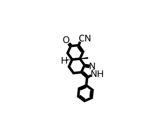 C[C@]12C=C(C#N)C(=O)C[C@@H]1CCc1c2n[nH]c1-c1ccccc1